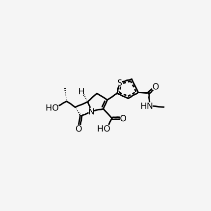 CNC(=O)c1csc(C2=C(C(=O)O)N3C(=O)[C@H]([C@@H](C)O)[C@H]3C2)c1